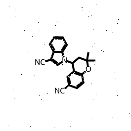 CC1(C)CC(n2cc(C#N)c3ccccc32)c2cc(C#N)ccc2O1